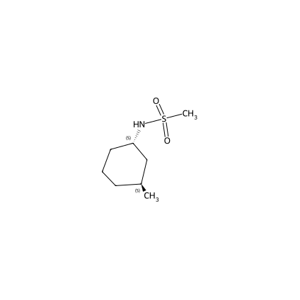 C[C@H]1CCC[C@H](NS(C)(=O)=O)C1